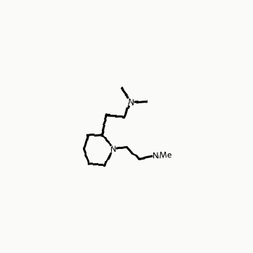 CNCCN1CCCCC1CCN(C)C